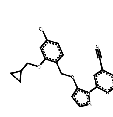 N#Cc1ccnc(-n2nccc2OCc2ccc(Cl)cc2OCC2CC2)c1